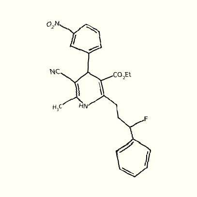 CCOC(=O)C1=C(CCC(F)c2ccccc2)NC(C)=C(C#N)C1c1cccc([N+](=O)[O-])c1